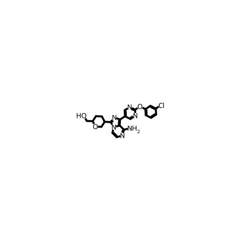 Nc1nccn2c(C3CCC(CO)OC3)nc(-c3cnc(Oc4cccc(Cl)c4)nc3)c12